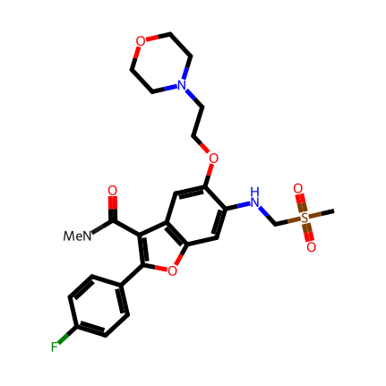 CNC(=O)c1c(-c2ccc(F)cc2)oc2cc(NCS(C)(=O)=O)c(OCCN3CCOCC3)cc12